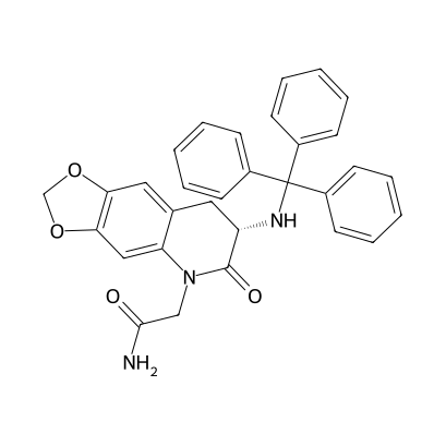 NC(=O)CN1C(=O)[C@@H](NC(c2ccccc2)(c2ccccc2)c2ccccc2)Cc2cc3c(cc21)OCO3